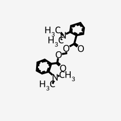 CN(C)c1ccccc1C(=O)OCOC(=O)c1ccccc1N(C)C